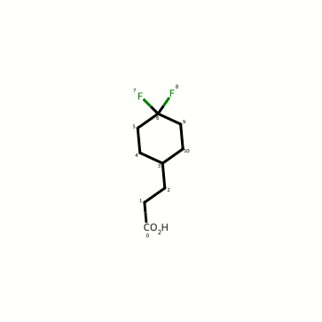 O=C(O)CCC1CCC(F)(F)CC1